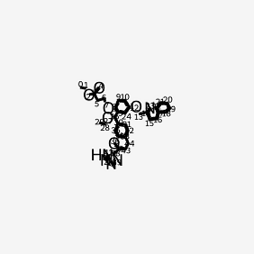 CCOC(=O)CCOc1ccc(OCc2ccc3ccccc3n2)cc1C(OCC)c1ccc2c(c1)OC(c1nnn[nH]1)=CC2